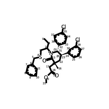 CCC(CSCc1ccccc1)N1C(=O)[C@@](C)(CC(=O)OC)C[C@H](c2cccc(Cl)c2)[C@H]1c1ccc(Cl)cc1